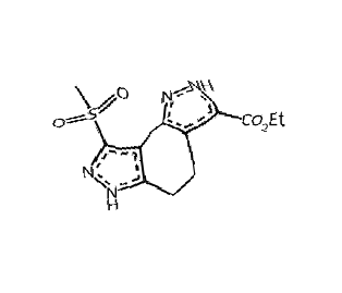 CCOC(=O)c1[nH]nc2c1CCc1[nH]nc(S(C)(=O)=O)c1-2